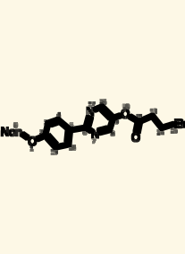 CCCCCCCCCOc1ccc(-c2ncc(OC(=O)CCC(C)CC)cn2)cc1